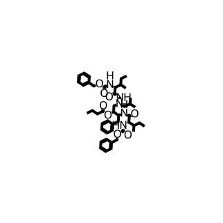 CCCC(=O)OC(CN(CC(C)C)NC(=O)[C@@H](NC(=O)OCc1ccccc1)C(C)CC)C(Cc1ccccc1)NC(=O)[C@@H](NC(=O)OCc1ccccc1)C(C)CC